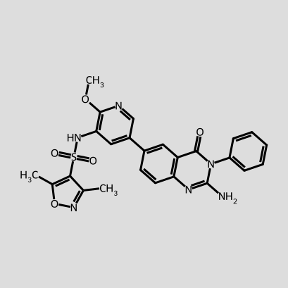 COc1ncc(-c2ccc3nc(N)n(-c4ccccc4)c(=O)c3c2)cc1NS(=O)(=O)c1c(C)noc1C